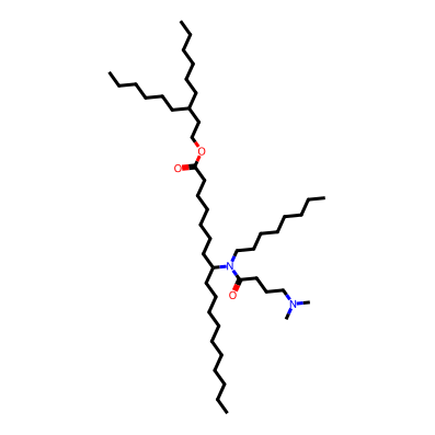 CCCCCCCCCCC(CCCCCCC(=O)OCCC(CCCCCC)CCCCCC)N(CCCCCCCC)C(=O)CCCN(C)C